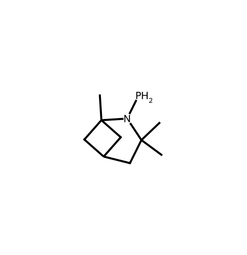 CC1(C)CC2CC(C)(C2)N1P